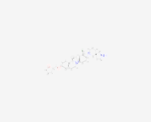 C=C1c2ccc(OC[C@H]3CCCO3)cc2C=CN1c1ccc(N2CCCC3(CCNC3)C2)c(F)c1